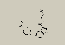 C=CC(=O)N1CCC(Oc2cnc3[nH]cc(C(=O)NCCC(F)(F)F)c3c2)CC1